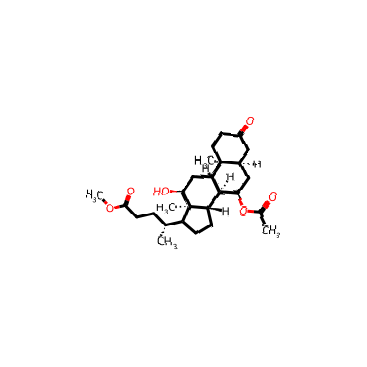 COC(=O)CC[C@@H](C)C1CC[C@H]2[C@@H]3[C@H](OC(C)=O)C[C@@H]4CC(=O)CC[C@]4(C)[C@H]3C[C@H](O)[C@]12C